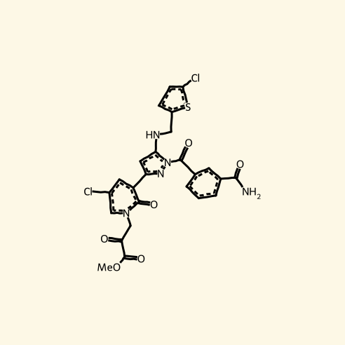 COC(=O)C(=O)Cn1cc(Cl)cc(-c2cc(NCc3ccc(Cl)s3)n(C(=O)c3cccc(C(N)=O)c3)n2)c1=O